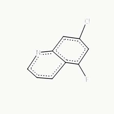 Fc1cc(Cl)cc2ncccc12